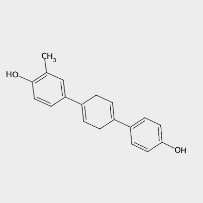 Cc1cc(C2=CCC(c3ccc(O)cc3)=CC2)ccc1O